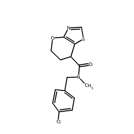 CN(Cc1ccc(Cl)cc1)C(=O)C1CCOc2ncsc21